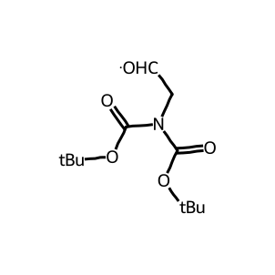 CC(C)(C)OC(=O)N(C[C]=O)C(=O)OC(C)(C)C